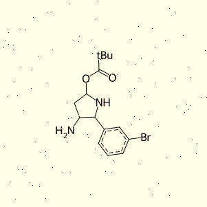 CC(C)(C)C(=O)OC1CC(N)C(c2cccc(Br)c2)N1